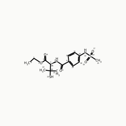 CCOC(=O)[C@@H](NC(=O)c1ccc(NS(C)(=O)=O)cc1)C(C)(C)S